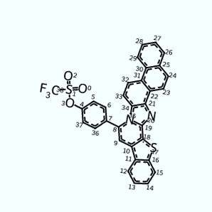 O=S(=O)(Oc1ccc(-c2cc3c4ccccc4sc3c3nc4c5ccc6ccccc6c5ccc4n23)cc1)C(F)(F)F